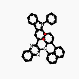 c1ccc(-n2c3ccccc3c3cc(-c4nc5ccccc5nc4N4c5ccccc5-c5cccc6cccc4c56)ccc32)cc1